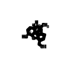 CN1CCC23c4c5ccc(CO)c4OC2[C@@H](O)C=C[C@H]3[C@H]1C5